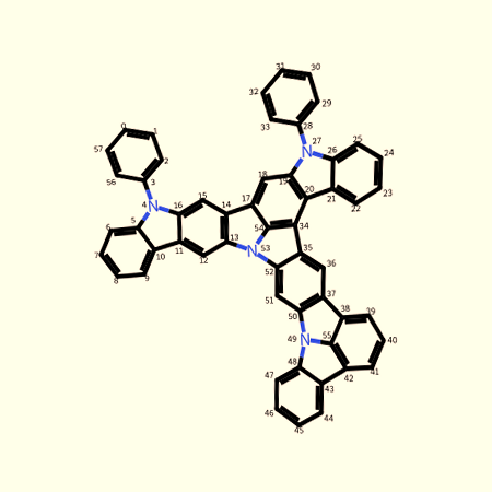 c1ccc(-n2c3ccccc3c3cc4c(cc32)c2cc3c(c5ccccc5n3-c3ccccc3)c3c5cc6c7cccc8c9ccccc9n(c6cc5n4c23)c87)cc1